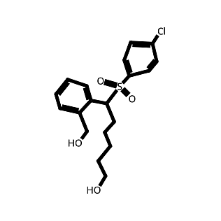 O=S(=O)(c1ccc(Cl)cc1)C(CCCCCO)c1ccccc1CO